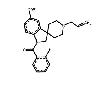 C=CCN1CCC2(CC1)CN(C(=O)c1ccccc1F)c1ccc(OC)cc12